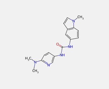 CN(C)c1ccc(NC(=O)Nc2ccc3c(ccn3C)c2)cn1